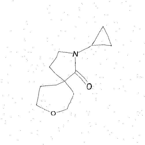 O=C1N(C2CC2)CCC12CCOCC2